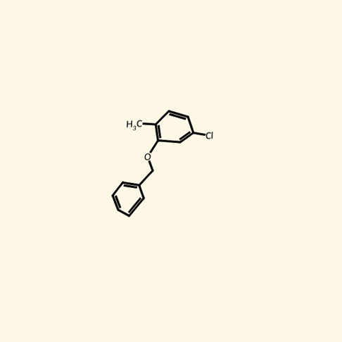 Cc1ccc(Cl)cc1OCc1ccccc1